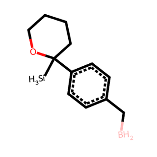 BCc1ccc(C2([SiH3])CCCCO2)cc1